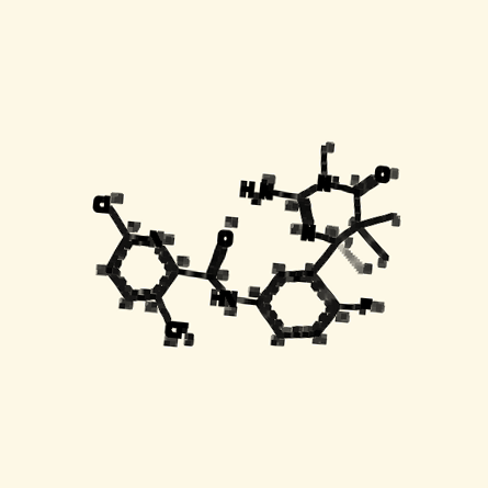 CN1C(=O)C(C)(C)[C@@](C)(c2cc(NC(=O)c3nc(Cl)ccc3C(F)(F)F)ccc2F)N=C1N